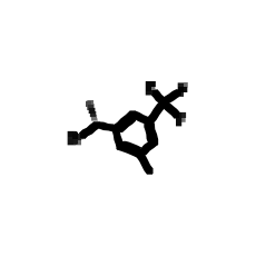 Cc1cc([C@@H](C)Br)cc(C(F)(F)F)c1